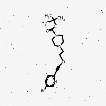 CC(C)(C)OC(=O)N1CCN(CCOC#Cc2ccc(Br)cn2)CC1